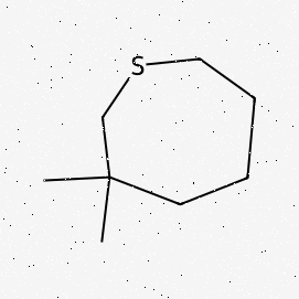 CC1(C)CCCCSC1